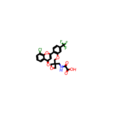 O=C(O)C(=O)NCC1(COc2cc(C(F)(F)F)ccc2-c2cc(=O)c3cccc(Cl)c3o2)COC1